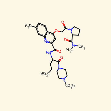 CCOC(=O)N1CCN(C(=O)C(CCC(=O)O)NC(=O)c2cc(OCC(=O)N3CCCC3C(=O)N(C)C)c3ccc(C)cc3n2)CC1